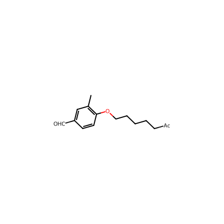 CC(=O)CCCCCOc1ccc(C=O)cc1C